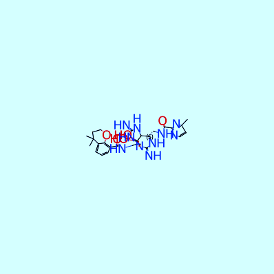 Cc1ccnc(C(=O)NC[C@@H]2NC(=N)N3CC(NC(=O)c4cccc5c4OCCC5(C)C)C(O)(O)C34NC(=N)NC24)n1